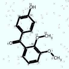 COc1cccc(C(=O)c2ccc(O)cc2)c1OC